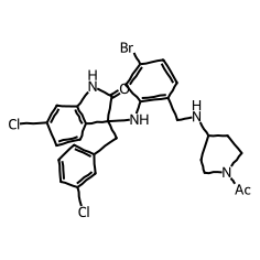 CC(=O)N1CCC(NCc2ccc(Br)cc2NC2(Cc3cccc(Cl)c3)C(=O)Nc3cc(Cl)ccc32)CC1